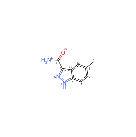 Cc1ccc2[nH]nc(C(N)=O)c2c1